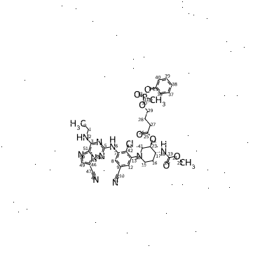 CCNc1nc(Nc2cc(C#N)cc(N3CC[C@@H](NC(=O)OC)[C@H](OC(=O)CCCOP(C)(=O)Oc4ccccc4)C3)c2Cl)nn2c(C#N)cnc12